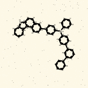 c1ccc(-c2cccc(-c3ccc(N(c4ccccc4)c4ccc(-c5ccc6c(ccc7sc8ccccc8c76)c5)cc4)cc3)c2)cc1